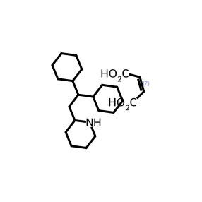 C1CCC(C(CC2CCCCN2)C2CCCCC2)CC1.O=C(O)/C=C\C(=O)O